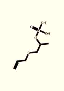 C=CCOCC(C)OP(=O)(O)O